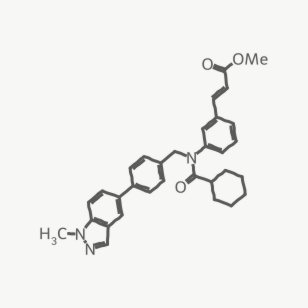 COC(=O)/C=C/c1cccc(N(Cc2ccc(-c3ccc4c(cnn4C)c3)cc2)C(=O)C2CCCCC2)c1